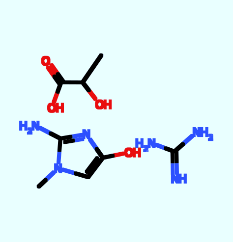 CC(O)C(=O)O.Cn1cc(O)nc1N.N=C(N)N